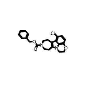 O=C(OCc1ccccc1)N1CCc2c(n3c4c(ccc(Cl)c24)OCC3)CC1